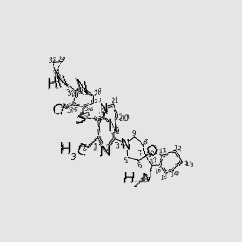 Cc1nc(N2CCC3(CC2)Oc2ccccc2[C@H]3N)n2ccnc2c1Sc1ccnc(NC2CC2)c1Cl